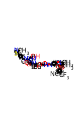 Cc1ncsc1-c1ccc(C(C)NC(=O)C2CC(O)CN2C(=O)C(NC(=O)COCCOCCNc2ccc(CN3CC(C)(C)C(Oc4ccc(C#N)c(C(F)(F)F)c4)C3=O)cc2)C(C)(C)C)cc1